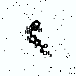 COC(=O)c1cc2cc(NC3CC4CC[C@H](C3)N4C)ncc2s1